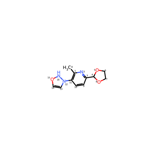 Cc1nc(C2OCCO2)ccc1N1C=CON1